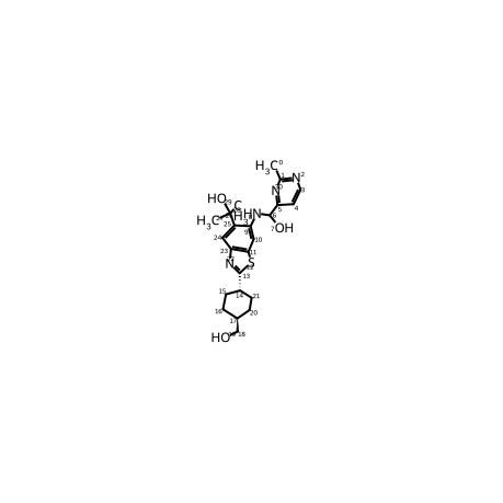 Cc1nccc(C(O)Nc2cc3sc([C@H]4CC[C@H](CO)CC4)nc3cc2C(C)(C)O)n1